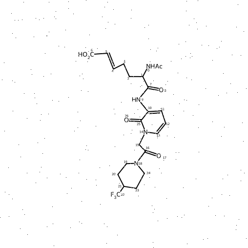 CC(=O)NC(CC/C=C/C(=O)O)C(=O)Nc1cccn(CC(=O)N2CCC(C(F)(F)F)CC2)c1=O